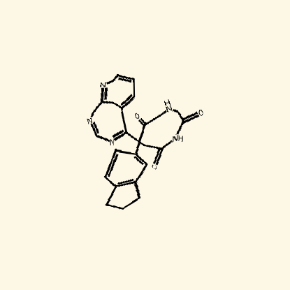 O=C1NC(=O)C(c2ccc3c(c2)CCC3)(c2ncnc3ncccc23)C(=O)N1